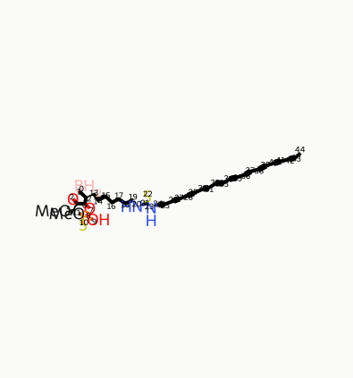 B[C@@H]1O[C@H](COC)C(OP(O)(=S)OC)[C@@H]1C/C=C/CCCCNC(=S)NC#CC#CC#CC#CC#CC#CC#CC#CC#CC#CC